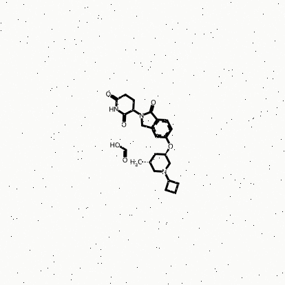 C[C@@H]1C[C@@H](Oc2ccc3c(c2)CN(C2CCC(=O)NC2=O)C3=O)CN(C2CCC2)C1.O=CO